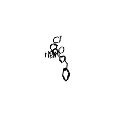 O=C(Nc1ccc(Cc2ccccc2)cc1)c1cc(Cl)ccc1O